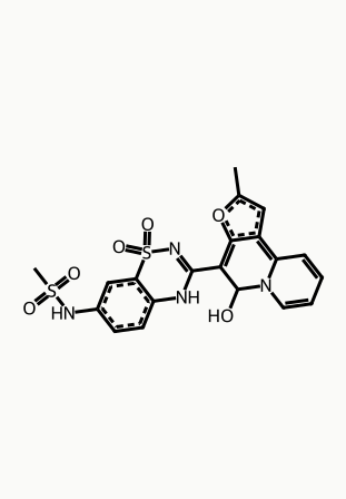 Cc1cc2c(o1)=C(C1=NS(=O)(=O)c3cc(NS(C)(=O)=O)ccc3N1)C(O)N1C=CC=CC=21